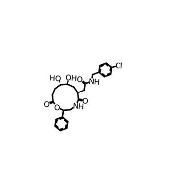 O=C(C[C@@H]1C[C@H](O)[C@@H](O)CCC(=O)OC(c2ccccc2)CNC1=O)NCc1ccc(Cl)cc1